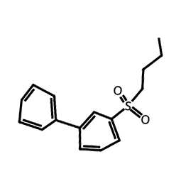 CCCCS(=O)(=O)c1cccc(-c2ccccc2)c1